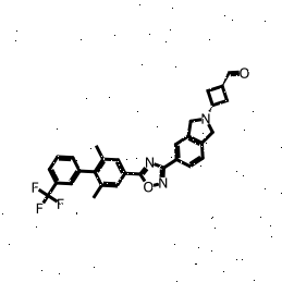 Cc1cc(-c2nc(-c3ccc4c(c3)CN([C@H]3C[C@H](C=O)C3)C4)no2)cc(C)c1-c1cccc(C(F)(F)F)c1